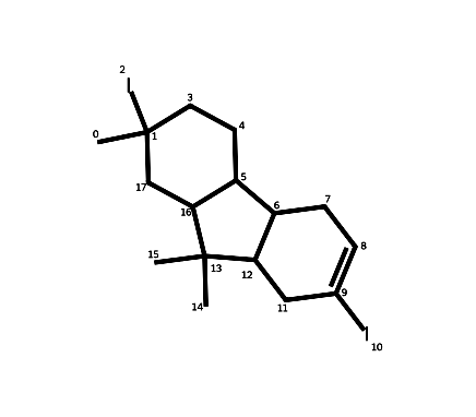 CC1(I)CCC2C3CC=C(I)CC3C(C)(C)C2C1